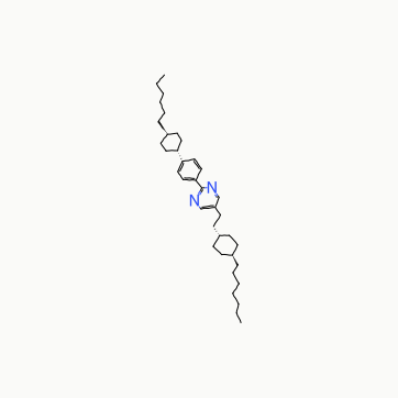 CCCCCCC[C@H]1CC[C@H](CCc2cnc(-c3ccc([C@H]4CC[C@H](CCCCCC)CC4)cc3)nc2)CC1